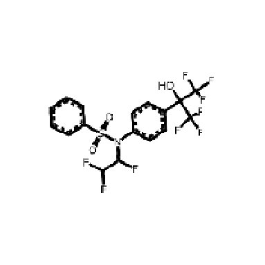 O=S(=O)(c1ccccc1)N(c1ccc(C(O)(C(F)(F)F)C(F)(F)F)cc1)C(F)C(F)F